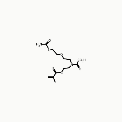 C=C(C)C(=O)OCCN(CCOCCOC(N)=O)C(=O)C(=O)O